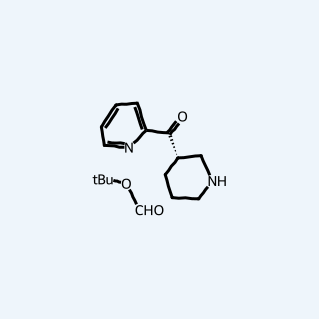 CC(C)(C)OC=O.O=C(c1ccccn1)[C@H]1CCCNC1